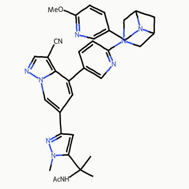 COc1ccc(CN2C3CC2CN(c2ccc(-c4cc(-c5cc(C(C)(C)NC(C)=O)n(C)n5)cn5ncc(C#N)c45)cn2)C3)cn1